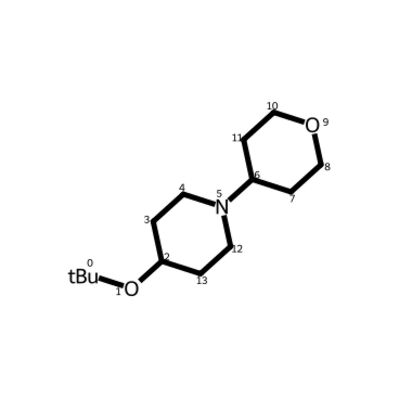 CC(C)(C)OC1CCN(C2CCOCC2)CC1